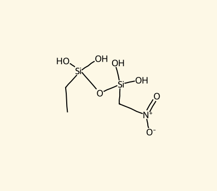 CC[Si](O)(O)O[Si](O)(O)C[N+](=O)[O-]